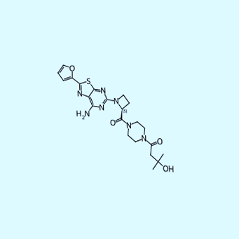 CC(C)(O)CC(=O)N1CCN(C(=O)[C@@H]2CCN2c2nc(N)c3nc(-c4ccco4)sc3n2)CC1